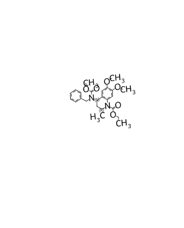 CCOC(=O)N1c2cc(OC)c(OC)cc2[C@@H](N(Cc2ccccc2)C(=O)OC)C[C@H]1C